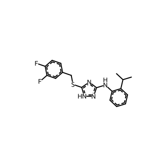 CC(C)c1ccccc1Nc1n[nH]c(SCc2ccc(F)c(F)c2)n1